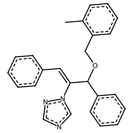 Cc1ccccc1COC(C(=Cc1ccccc1)n1cncn1)c1ccccc1